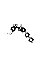 COc1ccc2[nH]nc(-c3nc4cc(N5CCC(N6CCOCC6)CC5)ccc4[nH]3)c2c1